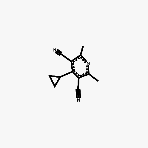 Cc1nc(C)c(C#N)c(C2CC2)c1C#N